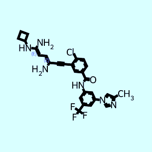 Cc1cn(-c2cc(NC(=O)c3ccc(Cl)c(C#C/C(N)=C/C=C(\N)NC4CCC4)c3)cc(C(F)(F)F)c2)cn1